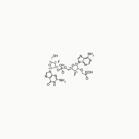 Nc1nc2c(ncn2[C@@H]2O[C@H](CO)[C@H](F)[C@@H]2OP(=O)(O)OC[C@H]2O[C@@H](n3cnc4c(N)ncnc43)C(OC[PH](=O)O)[C@H]2F)c(=O)[nH]1